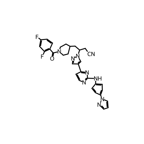 N#CCC(CC1CCN(C(=O)c2ccc(F)cc2F)CC1)n1cc(-c2ccnc(Nc3ccc(-n4cccn4)cc3)n2)cn1